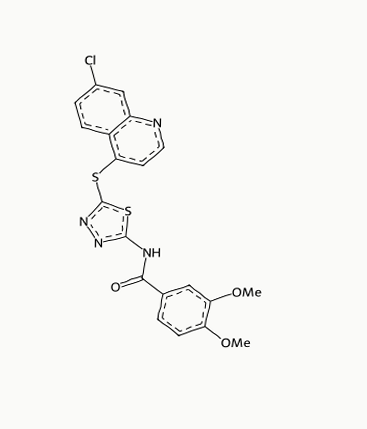 COc1ccc(C(=O)Nc2nnc(Sc3ccnc4cc(Cl)ccc34)s2)cc1OC